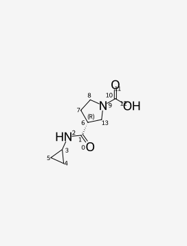 O=C(NC1CC1)[C@@H]1CCN(C(=O)O)C1